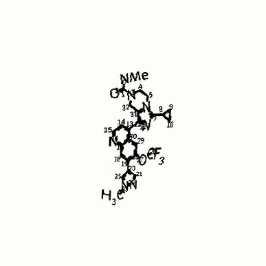 CNC(=O)N1CCn2c(C3CC3)nc(-c3ccnc4cc(-c5cnn(C)c5)c(OC(F)(F)F)cc34)c2C1